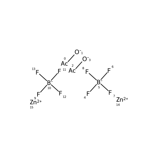 CC(=O)[O-].CC(=O)[O-].F[B-](F)(F)F.F[B-](F)(F)F.[Zn+2].[Zn+2]